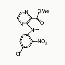 COC(=O)c1nccnc1N(C)c1ccc(Cl)cc1[N+](=O)[O-]